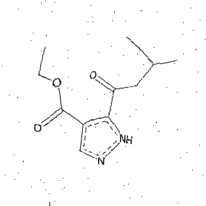 CCOC(=O)c1cn[nH]c1C(=O)CC(C)C